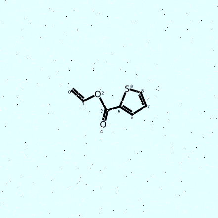 C=COC(=O)c1cccs1